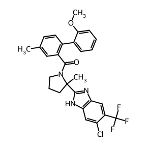 COc1ccccc1-c1ccc(C)cc1C(=O)N1CCCC1(C)c1nc2cc(C(F)(F)F)c(Cl)cc2[nH]1